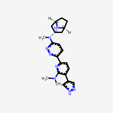 CN(C)c1nc(-c2ccc(N(C)[C@@H]3C[C@H]4CC[C@@H](C3)N4)nn2)ccc1-c1cn[nH]c1